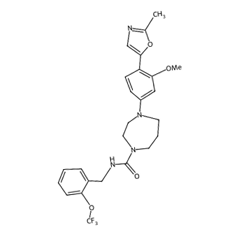 COc1cc(N2CCCN(C(=O)NCc3ccccc3OC(F)(F)F)CC2)ccc1-c1cnc(C)o1